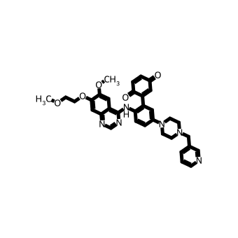 COCCOc1cc2ncnc(Nc3ccc(N4CCN(Cc5cccnc5)CC4)cc3C3=CC(=O)C=CC3=O)c2cc1OC